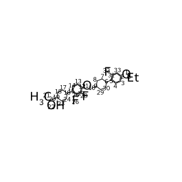 CCOc1ccc(C2CCC(COc3ccc(C4CCC(C(C)O)CC4)c(F)c3F)CC2)c(F)c1